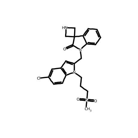 CS(=O)(=O)CCCn1c(CN2C(=O)C3(CNC3)c3ccccc32)cc2cc(Cl)ccc21